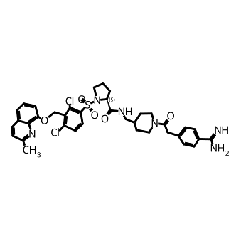 Cc1ccc2cccc(OCc3c(Cl)ccc(S(=O)(=O)N4CCC[C@H]4C(=O)NCC4CCN(C(=O)Cc5ccc(C(=N)N)cc5)CC4)c3Cl)c2n1